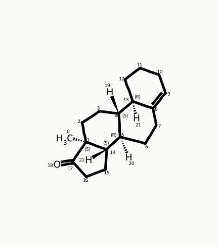 C[C@]12CC[C@H]3[C@@H](CCC4=CCCC[C@@H]43)[C@@H]1CCC2=O